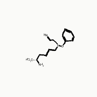 N=CCN(CCCC[C@H](N)C(=O)O)Oc1ccccc1